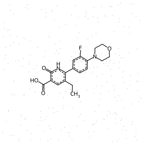 CCc1cc(C(=O)O)c(=O)[nH]c1-c1ccc(N2CCOCC2)c(F)c1